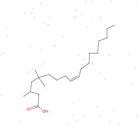 CCCCCCCC/C=C\CCCC(C)(C)CC(C)CC(=O)O